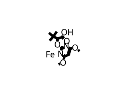 COc1cc(OC)nc(OC(C(=O)O)C(C)(C)C)n1.[Fe]